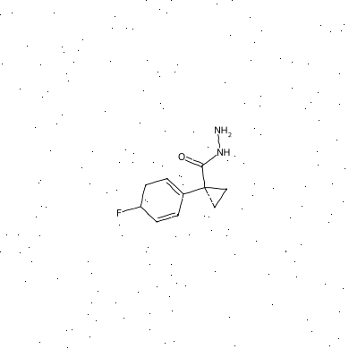 NNC(=O)C1(C2=CCC(F)C=C2)CC1